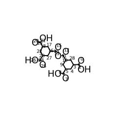 O=C(O)C1CC(C(=O)O)CC(C(=O)OC(=O)C2CC(C(=O)O)CC(C(=O)O)C2)C1